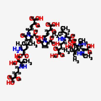 CC(C)CC(N)C(=O)O.CC(C)CC(NCCCC(=O)C(=O)O)C(=O)O.CC(NCCCC(=O)C(=O)O)C(=O)O.CNC(CC(C)C)C(=O)O.CN[C@@H](C)C(=O)O.O=C(O)C(=O)CCCN1C(=O)CC[C@H]1C(=O)O.O=C(O)C(=O)CCCN1C(=O)CC[C@H]1C(=O)O